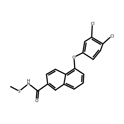 CSNC(=O)c1ccc2c(Oc3ccc(Cl)c(Cl)c3)cccc2c1